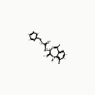 CC1=NC(NC(=O)OCc2ccccc2)C(=O)N(C)c2c(C)cccc21